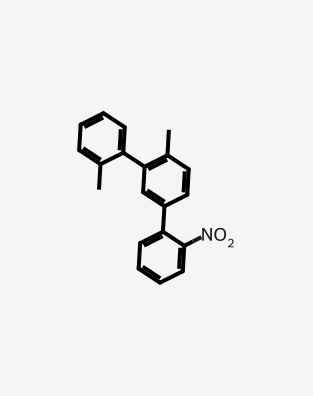 Cc1ccccc1-c1cc(-c2ccccc2[N+](=O)[O-])ccc1C